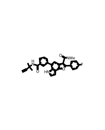 C#CC(C)(C)NC(=O)c1cccc(-c2cc3c(C(=O)NC)c(-c4ccc(F)cc4)oc3c3cc[nH]c23)c1